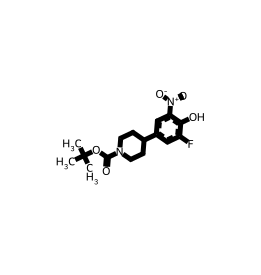 CC(C)(C)OC(=O)N1CCC(c2cc(F)c(O)c([N+](=O)[O-])c2)CC1